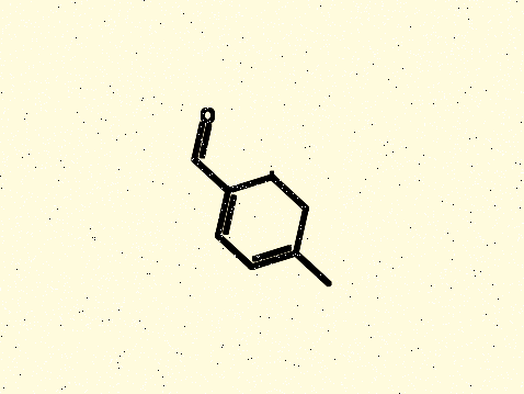 CC1=CC=C(C=O)[CH]C1